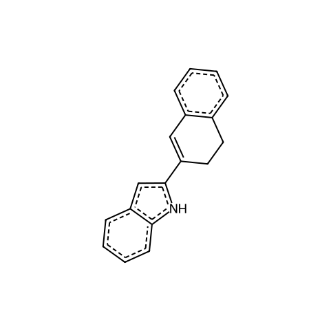 C1=C(c2cc3ccccc3[nH]2)CCc2ccccc21